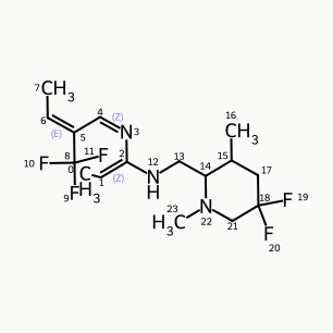 C\C=C(/N=C\C(=C/C)C(F)(F)F)NCC1C(C)CC(F)(F)CN1C